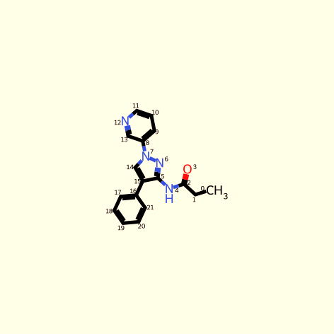 CCC(=O)Nc1nn(-c2cccnc2)cc1-c1ccccc1